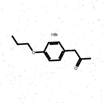 Br.CCCOc1ccc(CC(C)=O)cc1